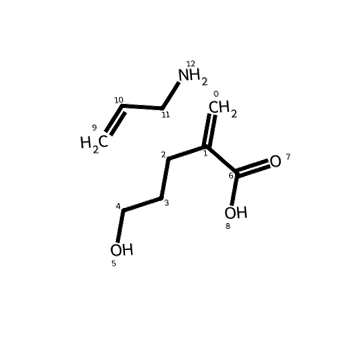 C=C(CCCO)C(=O)O.C=CCN